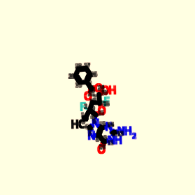 C#C[C@]1(F)[C@H](n2cnc3c(=O)[nH]c(N)nc32)O[C@](F)(CO)[C@H]1OC(=O)c1ccccc1